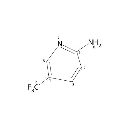 Nc1[c]cc(C(F)(F)F)cn1